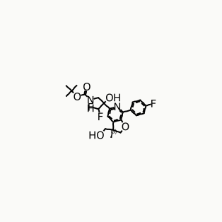 CC(C)(C)OC(=O)NCC(O)(c1cc2c(c(-c3ccc(F)cc3)n1)OC[C@]2(C)CO)C(F)F